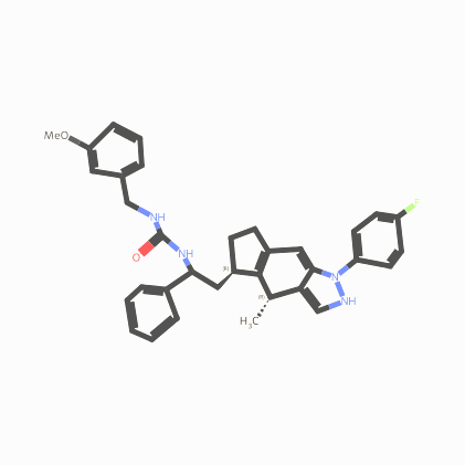 COc1cccc(CNC(=O)NC(C[C@H]2CCC3=C2[C@@H](C)C2=CNN(c4ccc(F)cc4)C2=C3)c2ccccc2)c1